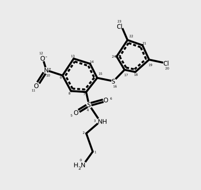 NCCNS(=O)(=O)c1cc([N+](=O)[O-])ccc1Sc1cc(Cl)cc(Cl)c1